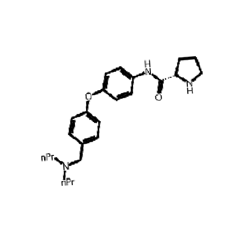 CCCN(CCC)Cc1ccc(Oc2ccc(NC(=O)[C@@H]3CCCN3)cc2)cc1